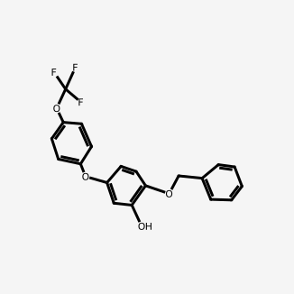 Oc1cc(Oc2ccc(OC(F)(F)F)cc2)ccc1OCc1ccccc1